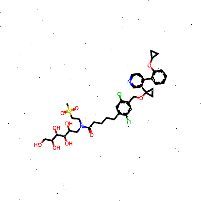 CS(=O)(=O)CCN(CC(O)C(O)C(O)C(O)CO)C(=O)CCCCc1cc(Cl)c(COC2(c3cnccc3-c3ccccc3OC3CC3)CC2)cc1Cl